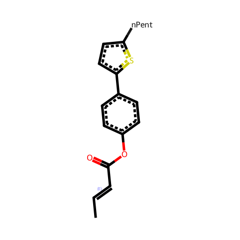 C/C=C/C(=O)Oc1ccc(-c2ccc(CCCCC)s2)cc1